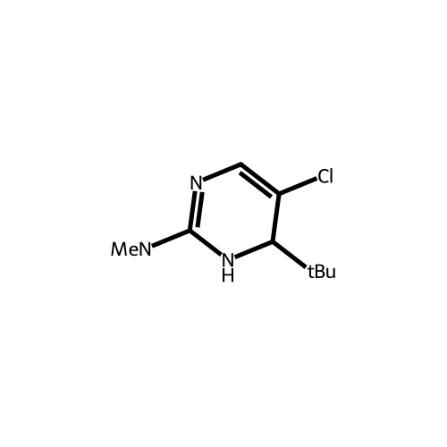 CNC1=NC=C(Cl)C(C(C)(C)C)N1